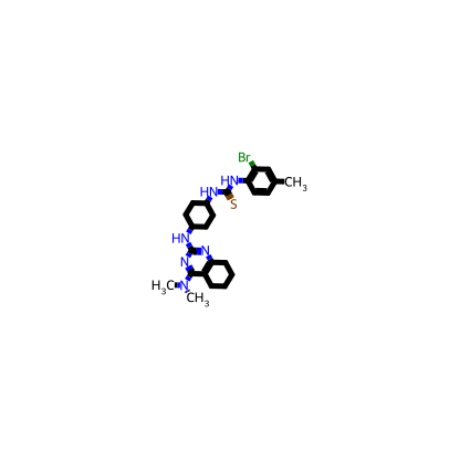 Cc1ccc(NC(=S)NC2CCC(Nc3nc4c(c(N(C)C)n3)CCCC4)CC2)c(Br)c1